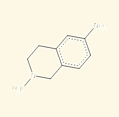 O=[N+]([O-])c1ccc2c(c1)CCN(P)C2